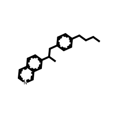 CCCCc1ccc(CC(C)c2ccc3ccncc3c2)cc1